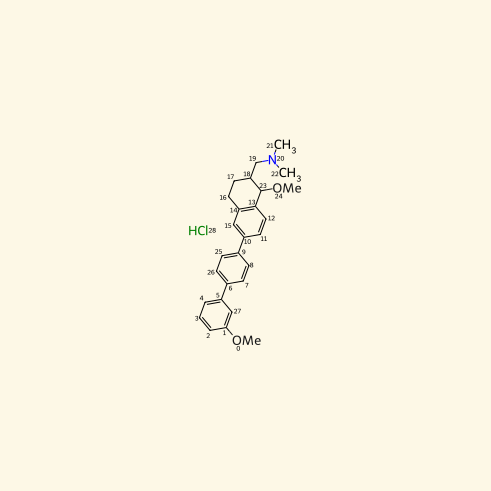 COc1cccc(-c2ccc(-c3ccc4c(c3)CCC(CN(C)C)C4OC)cc2)c1.Cl